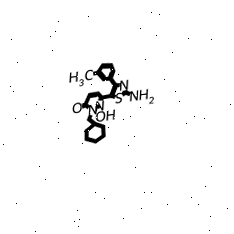 Cc1cccc(-c2nc(N)sc2-c2ccc(=O)n(CC3(O)CCCCC3)n2)c1